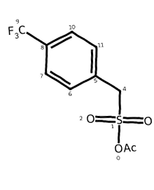 CC(=O)OS(=O)(=O)Cc1ccc(C(F)(F)F)cc1